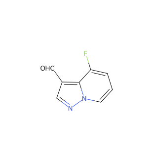 O=Cc1cnn2cccc(F)c12